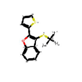 [2H]C([2H])([2H])Sc1c(-c2cccs2)oc2ccccc12